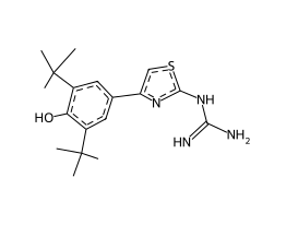 CC(C)(C)c1cc(-c2csc(NC(=N)N)n2)cc(C(C)(C)C)c1O